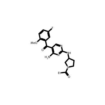 CCC(=O)N1CCC(Nc2ncc(C(=O)c3cc(F)ccc3OC)c(N)n2)C1